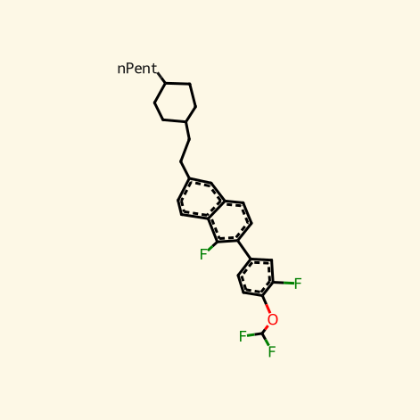 CCCCCC1CCC(CCc2ccc3c(F)c(-c4ccc(OC(F)F)c(F)c4)ccc3c2)CC1